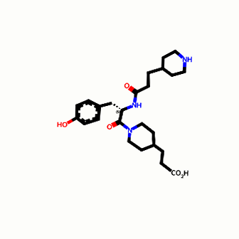 O=C(O)CCC1CCN(C(=O)[C@H](Cc2ccc(O)cc2)NC(=O)CCC2CCNCC2)CC1